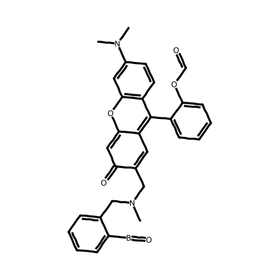 CN(Cc1ccccc1B=O)Cc1cc2c(-c3ccccc3OC=O)c3ccc(N(C)C)cc3oc-2cc1=O